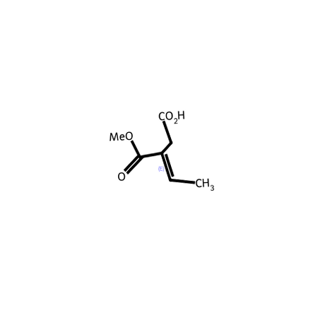 C/C=C(\CC(=O)O)C(=O)OC